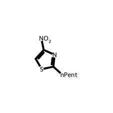 CCCCCc1nc([N+](=O)[O-])cs1